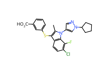 Cc1c(Sc2cccc(C(=O)O)c2)c2ccc(Cl)c(F)c2n1-c1cnn(C2CCCC2)c1